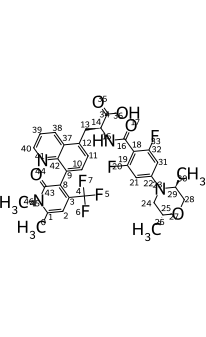 Cc1cc(C(F)(F)F)c(-c2ccc(C[C@H](NC(=O)c3c(F)cc(N4C[C@@H](C)OC[C@@H]4C)cc3F)C(=O)O)c3cccnc23)c(=O)n1C